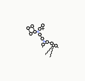 CCCCCCCCC1(CCCCCCCC)c2cc(C)ccc2-c2ccc(-c3ccc4c(c3)c3cc(C)ccc3n4-c3ccc(-c4ccc(N(c5ccc6c(c5)Cc5ccccc5-c5ccccc5Cc5ccccc5-6)c5ccc6c(c5)C(C)(C)c5ccccc5-6)cc4)cc3)cc21